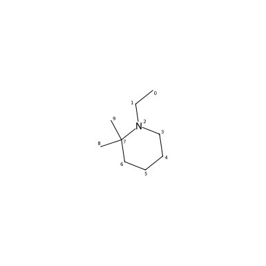 CCN1CCCCC1(C)C